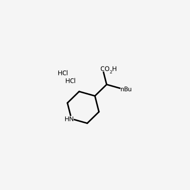 CCCCC(C(=O)O)C1CCNCC1.Cl.Cl